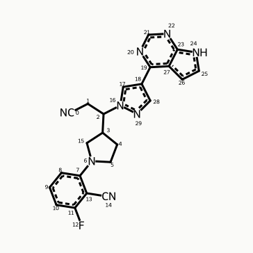 N#CCC(C1CCN(c2cccc(F)c2C#N)C1)n1cc(-c2ncnc3[nH]ccc23)cn1